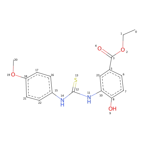 CCOC(=O)c1ccc(O)c(NC(=S)Nc2ccc(OC)cc2)c1